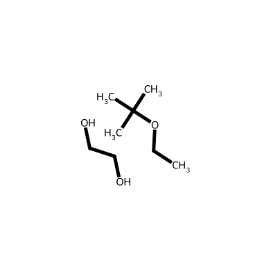 CCOC(C)(C)C.OCCO